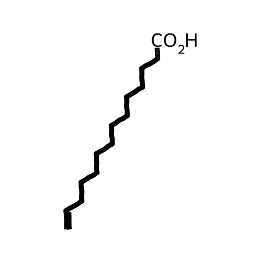 C=CCCCCCCCCCCCC(=O)O